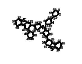 c1ccc(-c2ccc(N(c3ccc(-c4ccc5sc6ccccc6c5c4)cc3)c3ccc(-c4cc5sc6ccccc6c5cc4-c4ccccc4)cc3)cc2)cc1